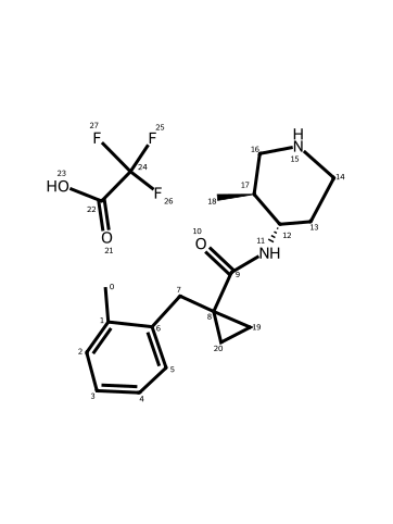 Cc1ccccc1CC1(C(=O)N[C@H]2CCNC[C@@H]2C)CC1.O=C(O)C(F)(F)F